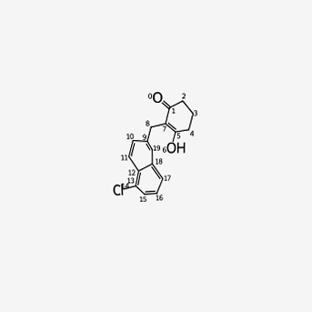 O=C1CCCC(O)=C1Cc1ccc2c(Cl)cccc2c1